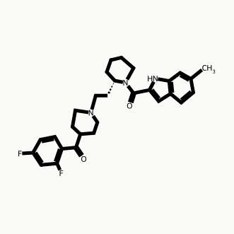 Cc1ccc2cc(C(=O)N3CCCC[C@H]3CCN3CCC(C(=O)c4ccc(F)cc4F)CC3)[nH]c2c1